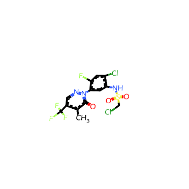 Cc1c(C(F)(F)F)cnn(-c2cc(NS(=O)(=O)CCl)c(Cl)cc2F)c1=O